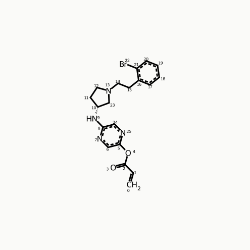 C=CC(=O)Oc1cnc(N[C@@H]2CCN(CCc3ccccc3Br)C2)cn1